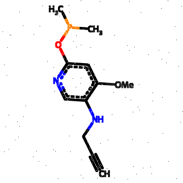 C#CCNc1cnc(OP(C)C)cc1OC